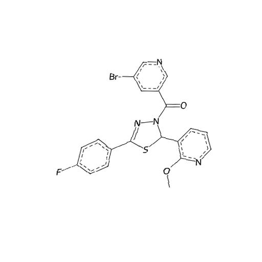 COc1ncccc1C1SC(c2ccc(F)cc2)=NN1C(=O)c1cncc(Br)c1